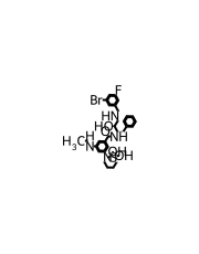 CCNc1cc(C(=O)N[C@@H](Cc2ccccc2)[C@@H](O)CNCc2cc(F)cc(Br)c2)cc(N2CCCCS2(O)O)c1